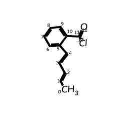 CC=CC=Cc1ccccc1C(=O)Cl